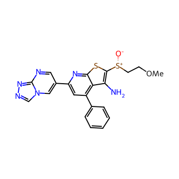 COCC[S@@+]([O-])c1sc2nc(-c3cnc4nncn4c3)cc(-c3ccccc3)c2c1N